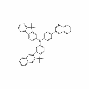 CC1(C)c2ccccc2-c2ccc(N(c3ccc(-c4cnc5ccccc5c4)cc3)c3ccc4c(c3)-c3cc5ccccc5cc3C4(C)C)cc21